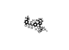 CC(C)(C=O)NC(=O)c1cn2ncnc(N)c2c1-c1ccc(NC(=O)Nc2cc(C(F)(F)F)ccc2Cl)cc1